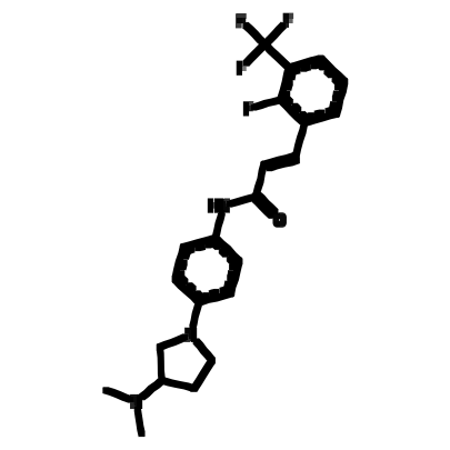 CN(C)C1CCN(c2ccc(NC(=O)/C=C/c3cccc(C(F)(F)F)c3F)cc2)C1